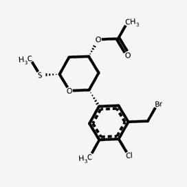 CS[C@@H]1C[C@H](OC(C)=O)C[C@H](c2cc(C)c(Cl)c(CBr)c2)O1